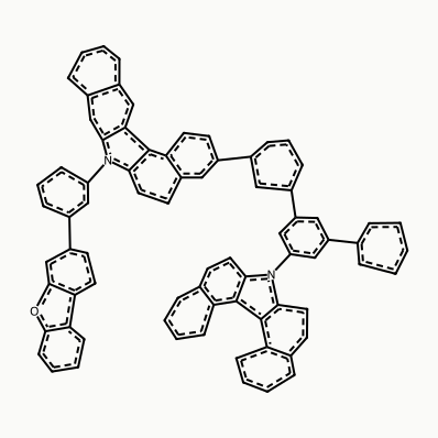 c1ccc(-c2cc(-c3cccc(-c4ccc5c(ccc6c5c5cc7ccccc7cc5n6-c5cccc(-c6ccc7c(c6)oc6ccccc67)c5)c4)c3)cc(-n3c4ccc5ccccc5c4c4c5ccccc5ccc43)c2)cc1